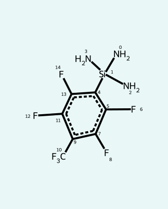 N[Si](N)(N)c1c(F)c(F)c(C(F)(F)F)c(F)c1F